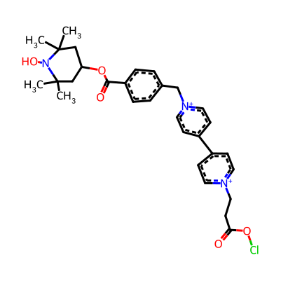 CC1(C)CC(OC(=O)c2ccc(C[n+]3ccc(-c4cc[n+](CCC(=O)OCl)cc4)cc3)cc2)CC(C)(C)N1O